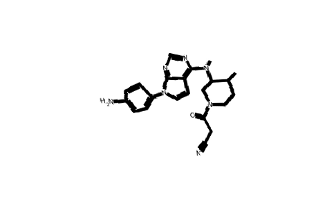 CC1CCN(C(=O)CC#N)CC1N(C)c1ncnc2c1ccn2-c1ccc(N)cc1